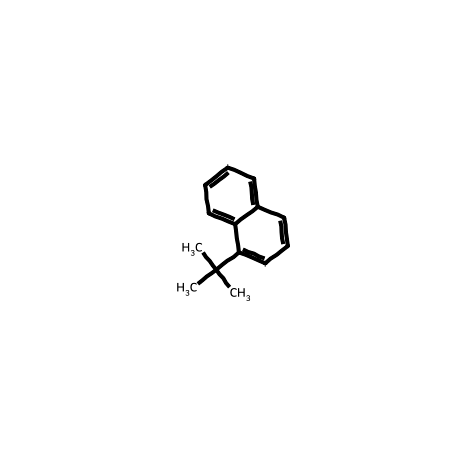 CC(C)(C)c1[c]ccc2c[c]ccc12